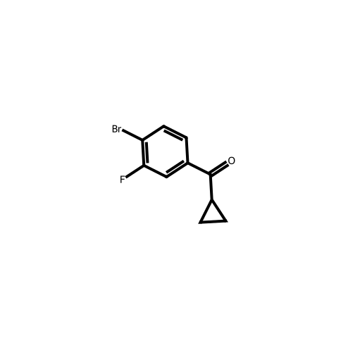 O=C(c1ccc(Br)c(F)c1)C1CC1